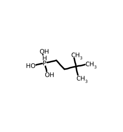 CC(C)(C)CC[PH](O)(O)O